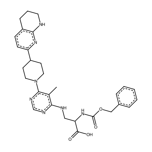 Cc1c(NCC(NC(=O)OCc2ccccc2)C(=O)O)ncnc1N1CCC(c2ccc3c(n2)NCCC3)CC1